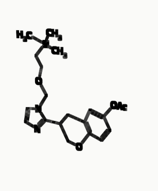 CC(=O)Oc1ccc2c(c1)CC(c1nccn1COCC[Si](C)(C)C)CO2